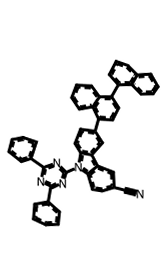 N#Cc1ccc2c(c1)c1cc(-c3ccc(-c4cccc5ccccc45)c4ccccc34)ccc1n2-c1nc(-c2ccccc2)nc(-c2ccccc2)n1